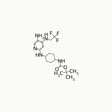 CC(C)(C)OC(=O)NC1CCC(Nc2cc(NCC(F)(F)F)c(N)cn2)CC1